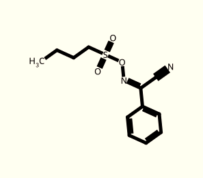 CCCCS(=O)(=O)ON=C(C#N)c1ccccc1